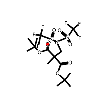 CC(C)(C)OC(=O)C(C)(CN(S(=O)(=O)C(F)(F)F)S(=O)(=O)C(F)(F)F)C(=O)OC(C)(C)C